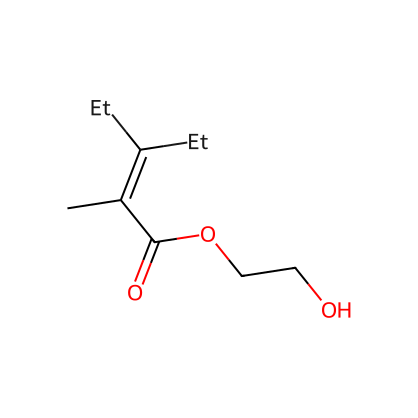 CCC(CC)=C(C)C(=O)OCCO